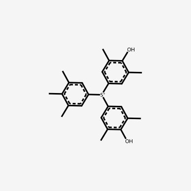 Cc1cc([S+](c2cc(C)c(O)c(C)c2)c2cc(C)c(O)c(C)c2)cc(C)c1C